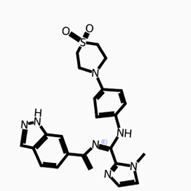 C=C(/N=C(/Nc1ccc(N2CCS(=O)(=O)CC2)cc1)c1nccn1C)c1ccc2cn[nH]c2c1